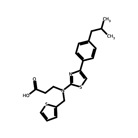 CC(C)Cc1ccc(-c2csc(N(CCC(=O)O)Cc3cccs3)n2)cc1